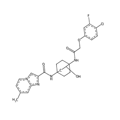 Cc1ccn2cc(C(=O)NC34CCC(NC(=O)COc5ccc(Cl)c(F)c5)(CC3)C(O)C4)nc2c1